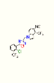 [C-]#[N+]c1ccc2c(ccn2Cc2noc(-c3cccc(C(F)(F)F)c3Cl)n2)c1C(F)(F)F